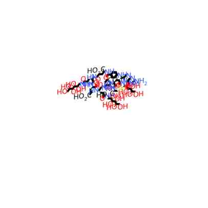 Nc1nc2ncc(CNc3ccc(C(=O)N[C@@H](CCC(=O)N[C@@H](CCC(=O)NC[C@H](O)[C@@H](O)[C@H](O)[C@H](O)CO)C(=O)N[C@H](CCC(=O)O)C(=O)N[C@@H](CCC(=O)NC[C@H](O)[C@@H](O)[C@H](O)[C@H](O)CO)C(=O)N[C@H](CCC(=O)O)C(=O)N[C@@H](CCC(=O)NC[C@H](O)[C@@H](O)[C@H](O)[C@H](O)CO)C(=O)N[C@H](CS)C(=O)O)C(=O)O)cc3)nc2c(=O)[nH]1